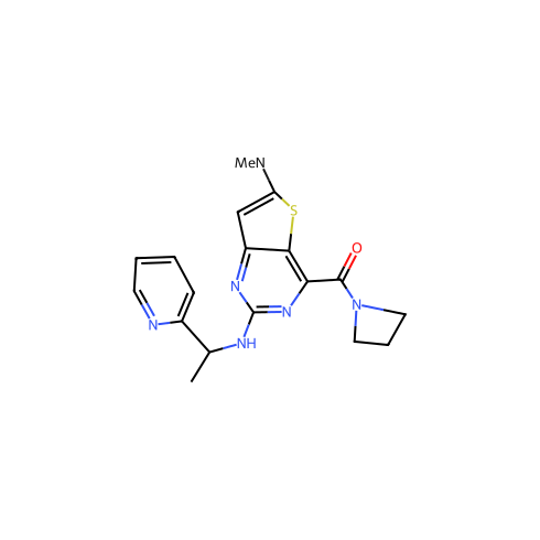 CNc1cc2nc(NC(C)c3ccccn3)nc(C(=O)N3CCC3)c2s1